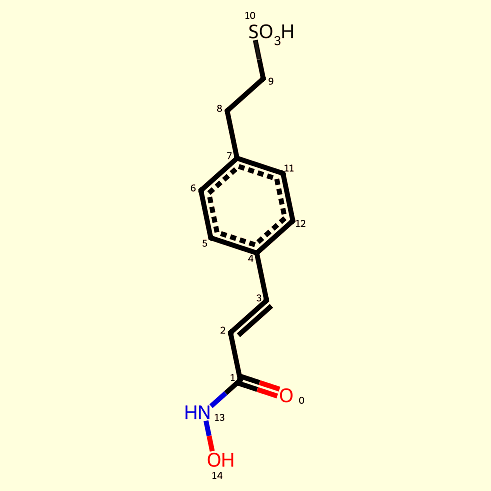 O=C(C=Cc1ccc(CCS(=O)(=O)O)cc1)NO